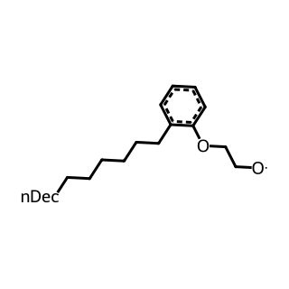 CCCCCCCCCCCCCCCCc1ccccc1OCC[O]